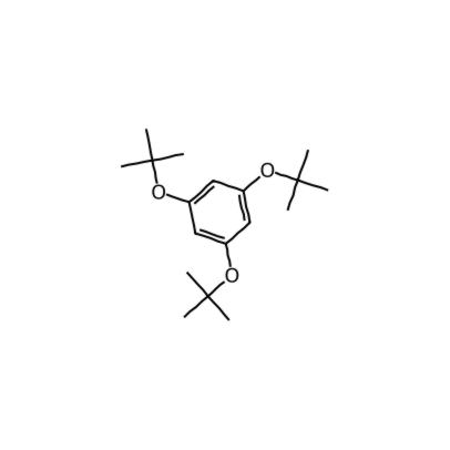 CC(C)(C)Oc1cc(OC(C)(C)C)cc(OC(C)(C)C)c1